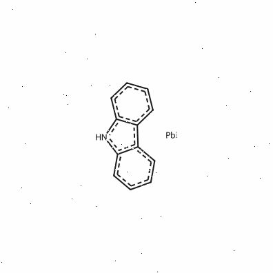 [Pb].c1ccc2c(c1)[nH]c1ccccc12